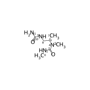 CNC(=O)N(C)C(C)CNC(N)=O